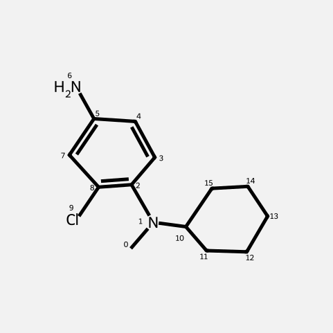 CN(c1ccc(N)cc1Cl)C1CCCCC1